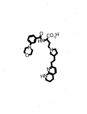 O=C(NC(CCN1CCC(CCc2ccc3c(n2)NCCC3)C1)C(=O)O)c1cccc(N2CCOCC2)c1